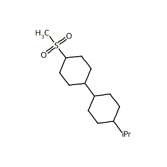 CC(C)C1CCC(C2CCC(S(C)(=O)=O)CC2)CC1